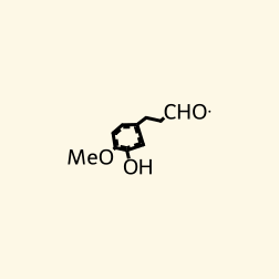 COc1ccc(CC[C]=O)cc1O